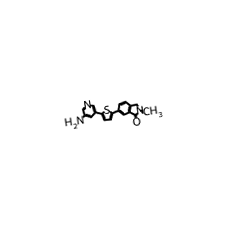 CN1Cc2ccc(-c3ccc(-c4cncc(N)c4)s3)cc2C1=O